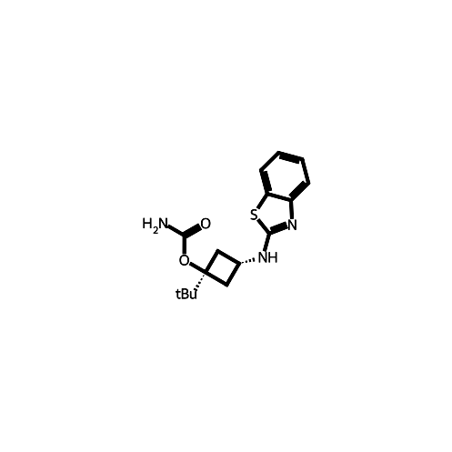 CC(C)(C)[C@]1(OC(N)=O)C[C@H](Nc2nc3ccccc3s2)C1